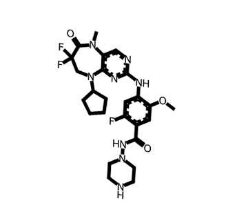 COc1cc(C(=O)NN2CCNCC2)c(F)cc1Nc1ncc2c(n1)N(C1CCCC1)CC(F)(F)C(=O)N2C